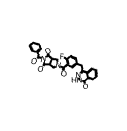 O=C(c1cc(Cc2n[nH]c(=O)c3ccccc23)ccc1F)N1CC2C(=O)N(C(=O)c3ccccc3)C(=O)C2C1